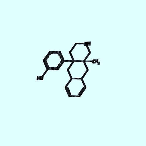 CC12CNCCC1(c1cccc(O)c1)CC1C=CC=CC1C2